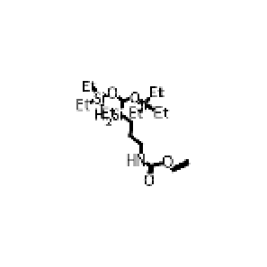 C=COC(=O)NCCC[SiH2]C(O[Si](CC)(CC)CC)O[Si](CC)(CC)CC